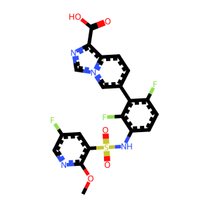 COc1ncc(F)cc1S(=O)(=O)Nc1ccc(F)c(-c2ccc3c(C(=O)O)ncn3c2)c1F